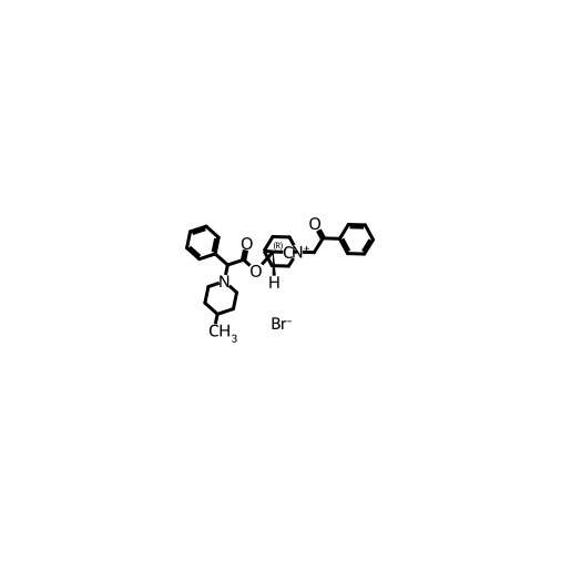 CC1CCN(C(C(=O)O[C@H]2C[N+]3(CC(=O)c4ccccc4)CCC2CC3)c2ccccc2)CC1.[Br-]